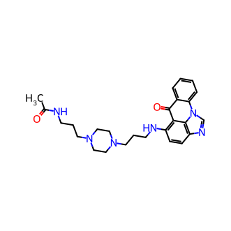 CC(=O)NCCCN1CCN(CCCNc2ccc3ncn4c5ccccc5c(=O)c2c34)CC1